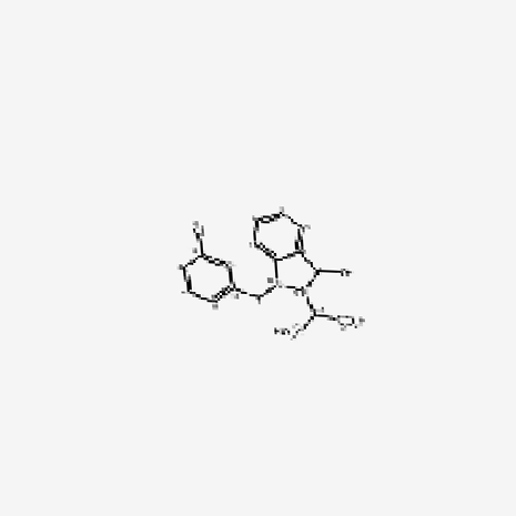 [O]C1c2ccccc2N(Cc2cccc(Cl)c2)N1C(C(=O)O)C(=O)O